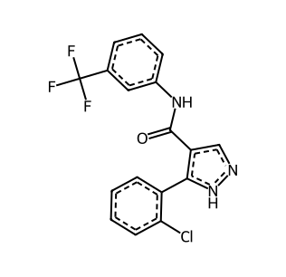 O=C(Nc1cccc(C(F)(F)F)c1)c1cn[nH]c1-c1ccccc1Cl